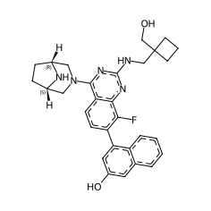 OCC1(CNc2nc(N3C[C@H]4CC[C@@H](C3)N4)c3ccc(-c4cc(O)cc5ccccc45)c(F)c3n2)CCC1